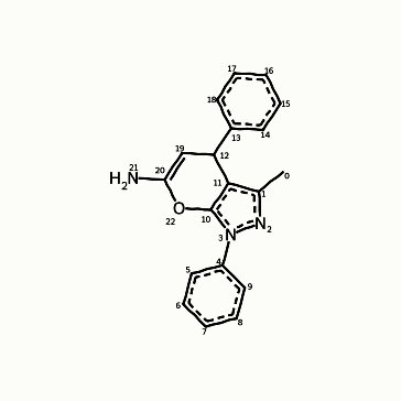 Cc1nn(-c2ccccc2)c2c1C(c1ccccc1)C=C(N)O2